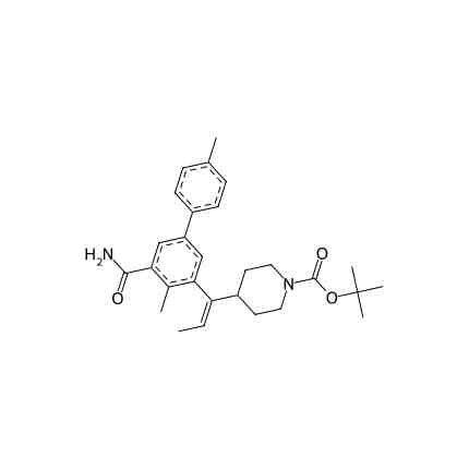 C/C=C(\c1cc(-c2ccc(C)cc2)cc(C(N)=O)c1C)C1CCN(C(=O)OC(C)(C)C)CC1